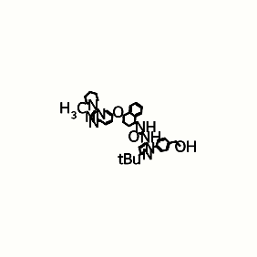 C[C@H]1CCCCN1c1nnc2ccc(O[C@@H]3CC[C@H](NC(=O)Nc4cc(C(C)(C)C)nn4-c4ccc(CO)cc4)c4ccccc43)cn12